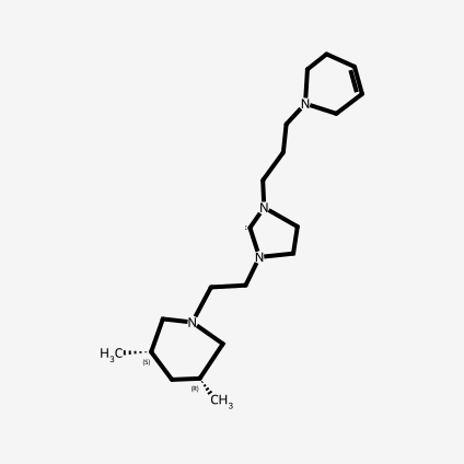 C[C@@H]1C[C@H](C)CN(CCN2[C]N(CCCN3CC=CCC3)CC2)C1